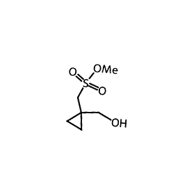 COS(=O)(=O)CC1(CO)CC1